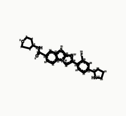 O=C(NC1CCOCC1)c1ccc2c(c1)sc1nc(-c3ccc(C4CCCN4)cc3F)cn12